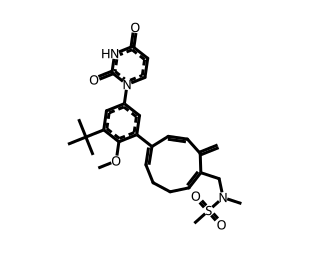 C=C1/C=C\C(c2cc(-n3ccc(=O)[nH]c3=O)cc(C(C)(C)C)c2OC)=C/CC/C=C\1CN(C)S(C)(=O)=O